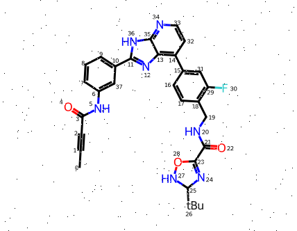 CC#CC(=O)Nc1cccc(-c2nc3c(-c4ccc(CNC(=O)C5=NC(C(C)(C)C)NO5)c(F)c4)ccnc3[nH]2)c1